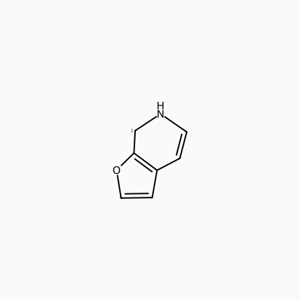 [C]1NC=Cc2ccoc21